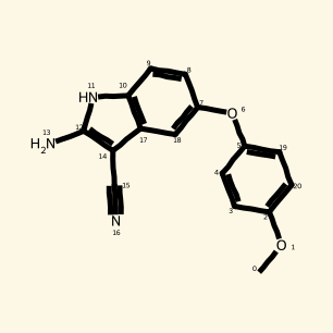 COc1ccc(Oc2ccc3[nH]c(N)c(C#N)c3c2)cc1